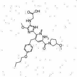 C=N/C(=C(\C=C(/N)C(=O)N1CCC(OC)C1)Cc1ccc(OCCCC)cc1)c1nc(OC)c(NCC(=O)O)[nH]1